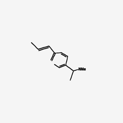 C=C(/C=C\C(=C/C)C(C)NC)/C=C/C